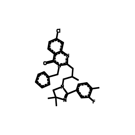 Cc1ccc(C2=NC(C)(C)CN2CC(C)Cc2nc3cc(Cl)ccc3c(=O)n2Cc2ccccc2)cc1F